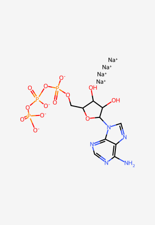 Nc1ncnc2c1ncn2C1OC(COP(=O)([O-])OP(=O)([O-])OP(=O)([O-])[O-])C(O)C1O.[Na+].[Na+].[Na+].[Na+]